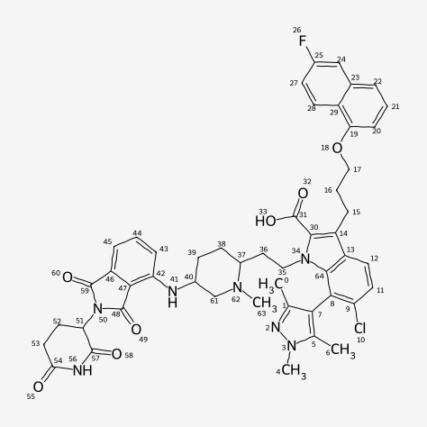 Cc1nn(C)c(C)c1-c1c(Cl)ccc2c(CCCOc3cccc4cc(F)ccc34)c(C(=O)O)n(CCC3CCC(Nc4cccc5c4C(=O)N(C4CCC(=O)NC4=O)C5=O)CN3C)c12